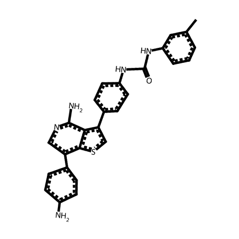 Cc1cccc(NC(=O)Nc2ccc(-c3csc4c(-c5ccc(N)cc5)cnc(N)c34)cc2)c1